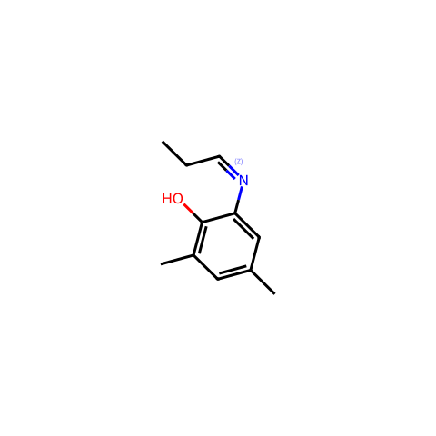 CC/C=N\c1cc(C)cc(C)c1O